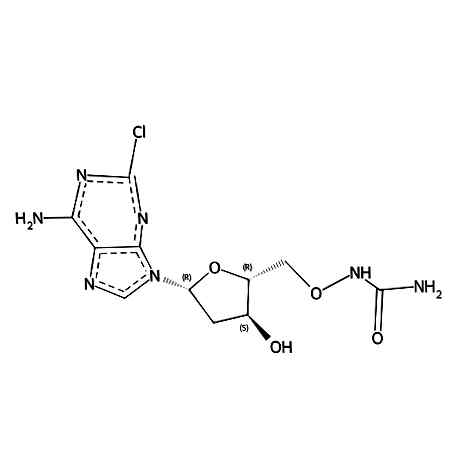 NC(=O)NOC[C@H]1O[C@@H](n2cnc3c(N)nc(Cl)nc32)C[C@@H]1O